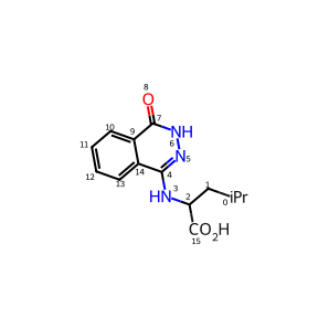 CC(C)CC(Nc1n[nH]c(=O)c2ccccc12)C(=O)O